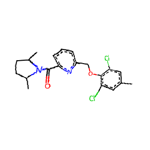 Cc1cc(Cl)c(OCc2cccc(C(=O)N3C(C)CCC3C)n2)c(Cl)c1